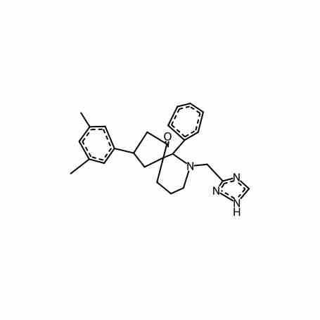 Cc1cc(C)cc(C2CC(=O)C3(CCCN(Cc4nc[nH]n4)C3c3ccccc3)C2)c1